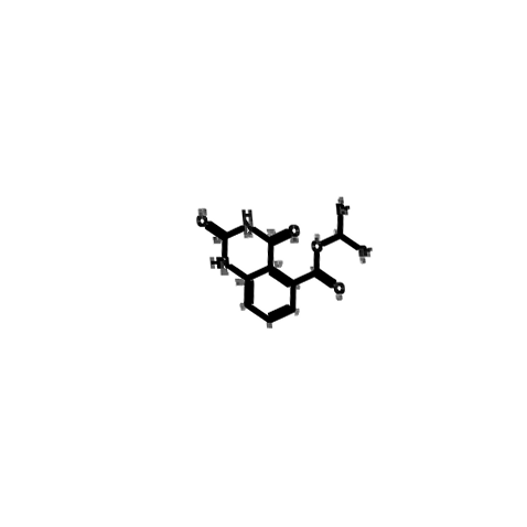 O=C(OC(Br)Br)c1cccc2[nH]c(=O)[nH]c(=O)c12